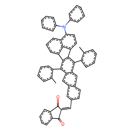 Cc1ccccc1-c1c2c(c(-c3ccccc3C)c3cc4cc(C=C5C(=O)c6ccccc6C5=O)ccc4cc13)-c1cccc3c(N(c4ccccc4)c4ccccc4)ccc-2c13